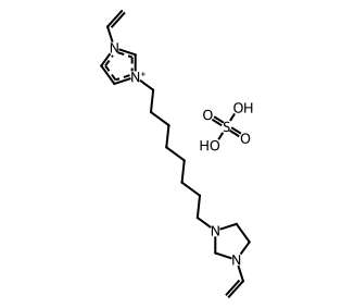 C=CN1CCN(CCCCCCCC[n+]2ccn(C=C)c2)C1.O=S(=O)(O)O